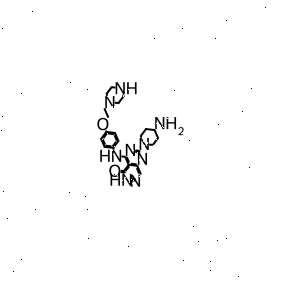 NC1CCN(c2nc(Nc3ccc(OCCN4CCNCC4)cc3)c3c(=O)[nH]ncc3n2)CC1